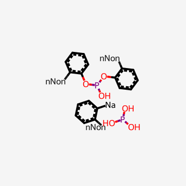 CCCCCCCCCc1cccc[c]1[Na].CCCCCCCCCc1ccccc1OP(O)Oc1ccccc1CCCCCCCCC.OP(O)O